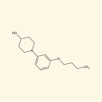 CCCCOc1cccc(N2CCC(O)CC2)c1